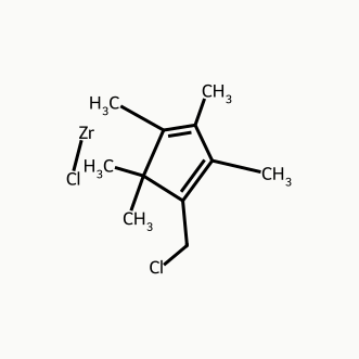 CC1=C(C)C(C)(C)C(CCl)=C1C.[Cl][Zr]